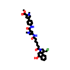 COC(=O)c1cc(-c2ccc(NC(=O)c3cc(NC(=O)CCCCCC(=O)N4C[C@@H](CCl)c5c4cc(O)c4ccccc54)cn3C)cc2)cn1C